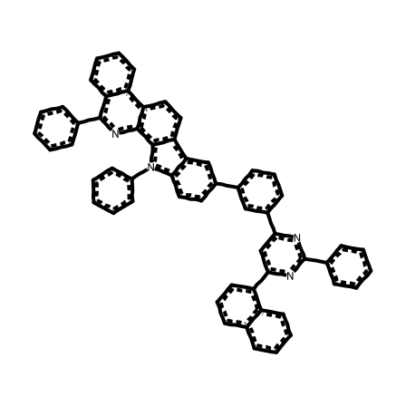 c1ccc(-c2nc(-c3cccc(-c4ccc5c(c4)c4ccc6c7ccccc7c(-c7ccccc7)nc6c4n5-c4ccccc4)c3)cc(-c3cccc4ccccc34)n2)cc1